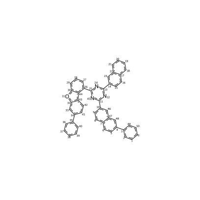 c1ccc(-c2ccc3ccc(-c4nc(-c5ccc6ccccc6c5)nc(-c5cccc6oc7cc(-c8ccccc8)ccc7c56)n4)cc3c2)cc1